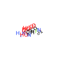 C=C1C(C(N)=O)=C(O)[C@@H](N(C)C)C2C[C@@H]3Cc4c(F)c(CN(CC5CC5)CC5(CC)CCC5)cc(OC)c4C(=O)C3=C(O)[C@]12O